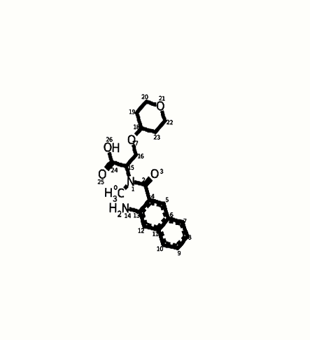 CN(C(=O)c1cc2ccccc2cc1N)C(COC1CCOCC1)C(=O)O